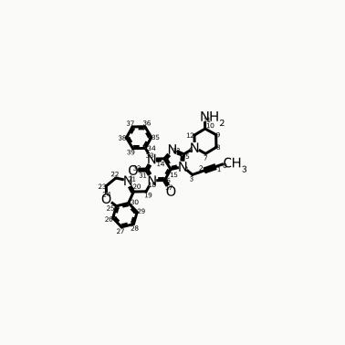 CC#CCn1c(N2CCCC(N)C2)nc2c1c(=O)n(CC1=NCCOc3ccccc31)c(=O)n2-c1ccccc1